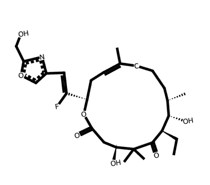 CC[C@H]1C(=O)C(C)(C)[C@@H](O)CC(=O)O[C@H](C(F)=Cc2coc(CO)n2)C/C=C(/C)CCC[C@H](C)[C@@H]1O